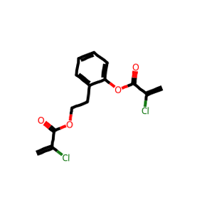 C=C(Cl)C(=O)OCCc1ccccc1OC(=O)C(=C)Cl